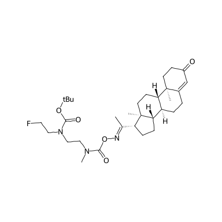 C/C(=N\OC(=O)N(C)CCN(CCF)C(=O)OC(C)(C)C)[C@H]1CC[C@H]2[C@@H]3CCC4=CC(=O)CC[C@]4(C)[C@H]3CC[C@]12C